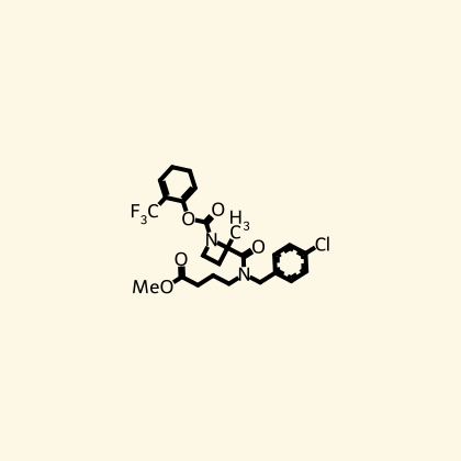 COC(=O)CCCN(Cc1ccc(Cl)cc1)C(=O)C1(C)CCN1C(=O)OC1=CCCC=C1C(F)(F)F